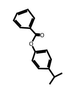 CC(C)c1ccc(OC(=O)c2ccccc2)cc1